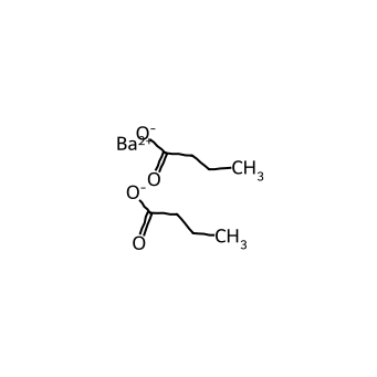 CCCC(=O)[O-].CCCC(=O)[O-].[Ba+2]